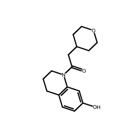 O=C(CC1CCOCC1)N1CCCc2ccc(O)cc21